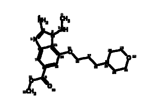 CNn1c(N)nc2cc(C(=O)OC)cc(OCCCN3CCOCC3)c21